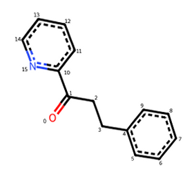 O=C(CCc1ccccc1)c1ccccn1